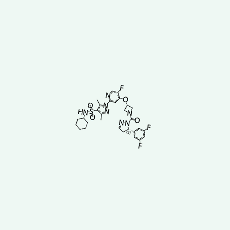 Cc1nn(-c2cc(OC3CN(C(=O)N4N=CC[C@H]4c4cc(F)cc(F)c4)C3)c(F)cn2)c(C)c1S(=O)(=O)NC1CCCCC1